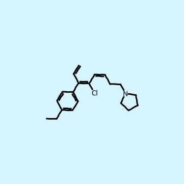 C=C/C(=C(Cl)\C=C/CCN1CCCC1)c1ccc(CC)cc1